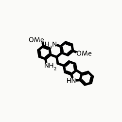 COc1ccc(N)c(C(Cc2ccc3c(c2)[nH]c2ccccc23)c2cc(OC)ccc2N)c1